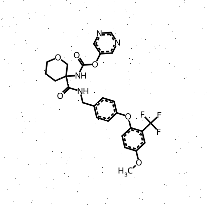 COc1ccc(Oc2ccc(CNC(=O)C3(NC(=O)Oc4cncnc4)CCCOC3)cc2)c(C(F)(F)F)c1